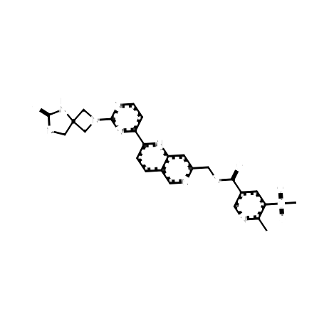 Cc1ncc(C(=O)NCc2cc3nc(-c4ccnc(N5CC6(CNC(=O)N6)C5)n4)ccc3cn2)cc1S(C)(=O)=O